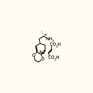 C[C@H](N)CC1C=C2OCCOC23N=CCC3C1.O=C(O)C=CC(=O)O